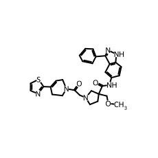 COCC1(C(=O)Nc2ccc3[nH]nc(-c4ccccc4)c3c2)CCN(CC(=O)N2CC=C(c3nccs3)CC2)C1